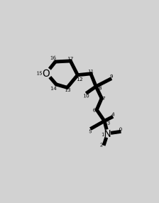 CN(C)C(C)(C)CCC(C)(C)CC1CCOCC1